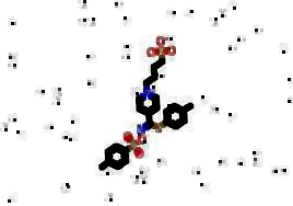 Cc1ccc(S/C(=N\OS(=O)(=O)c2ccc(C)cc2)c2cc[n+](CCCCS(=O)(=O)[O-])cc2)cc1